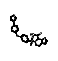 O=C(O)C1c2occc2CCN1S(=O)(=O)c1ccc(Oc2ccc(-n3ccnc3)cc2)cc1